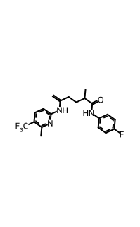 C=C(CCC(C)C(=O)Nc1ccc(F)cc1)Nc1ccc(C(F)(F)F)c(C)n1